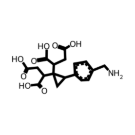 NCc1ccc(C2CC2(C(CC(=O)O)C(=O)O)C(CC(=O)O)C(=O)O)cc1